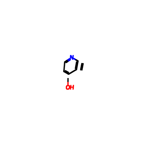 C=C.CO.c1ccncc1